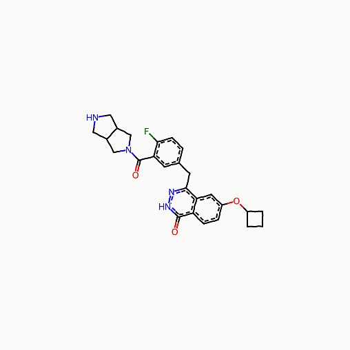 O=C(c1cc(Cc2n[nH]c(=O)c3ccc(OC4CCC4)cc23)ccc1F)N1CC2CNCC2C1